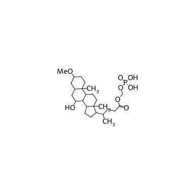 COC1CCC2(C)C(C1)CC(O)C1C2CCC2(C)C(C(C)CCC(=O)OCOP(=O)(O)O)CCC12